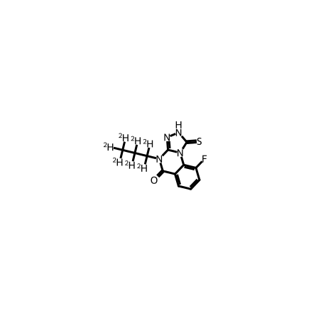 [2H]C([2H])([2H])C([2H])([2H])C([2H])([2H])n1c(=O)c2cccc(F)c2n2c(=S)[nH]nc12